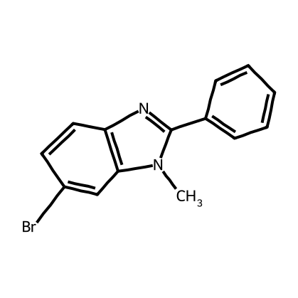 Cn1c(-c2ccccc2)nc2ccc(Br)cc21